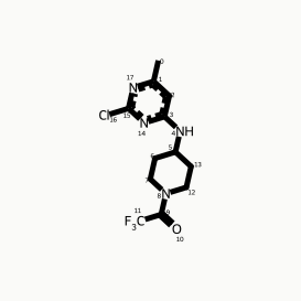 Cc1cc(NC2CCN(C(=O)C(F)(F)F)CC2)nc(Cl)n1